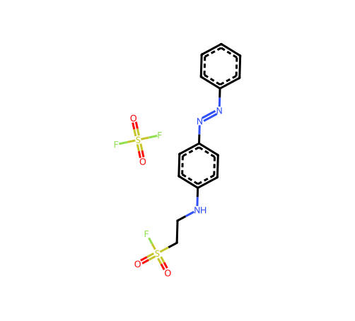 O=S(=O)(F)CCNc1ccc(N=Nc2ccccc2)cc1.O=S(=O)(F)F